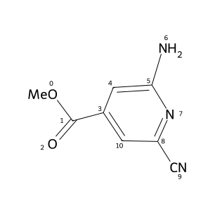 COC(=O)c1cc(N)nc(C#N)c1